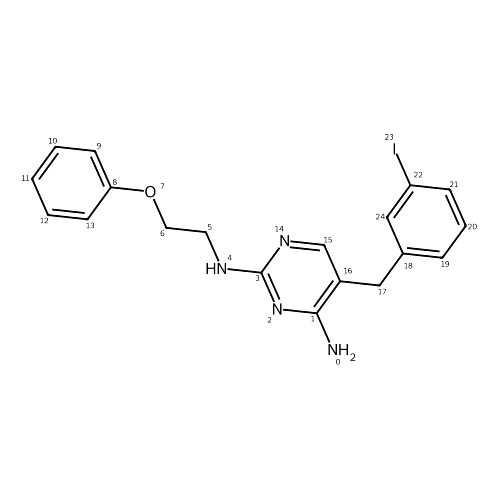 Nc1nc(NCCOc2ccccc2)ncc1Cc1cccc(I)c1